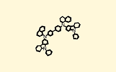 C1=CC2c3cc(N(c4ccc(-c5ccc(N(C6=CCCc7ccccc76)c6ccc7c(c6)c6c(n7-c7ccccc7)C=CCC6)cc5)cc4)c4cccc5ccccc45)ccc3N(c3ccccc3)C2C=C1